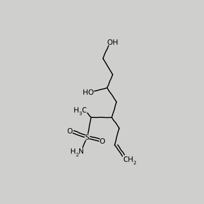 C=CCC(CC(O)CCO)C(C)S(N)(=O)=O